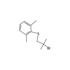 Cc1cccc(C)c1SCC(C)(C)Br